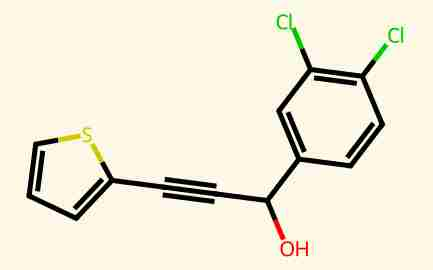 OC(C#Cc1cccs1)c1ccc(Cl)c(Cl)c1